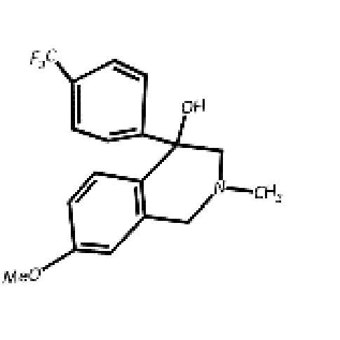 COc1ccc2c(c1)CN(C)CC2(O)c1ccc(C(F)(F)F)cc1